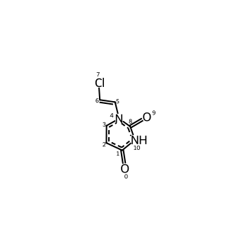 O=c1ccn(C=CCl)c(=O)[nH]1